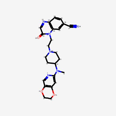 CN(c1cc2c(cn1)OCCO2)C1CCN(CCn2c(=O)cnc3ccc(C#N)cc32)CC1